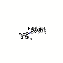 CCC1(CC)c2cc(/C=C/c3ccc4c(c3)C(CC)(CC)c3cc(N(c5ccccc5)c5ccccc5)ccc3-4)ccc2-c2ccc(-c3ccc([Si](C)(C)C)c4c3SCN4C)cc21